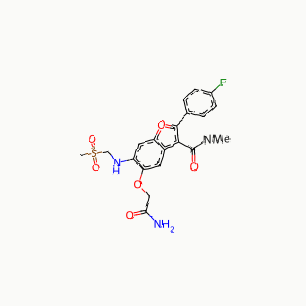 CNC(=O)c1c(-c2ccc(F)cc2)oc2cc(NCS(C)(=O)=O)c(OCC(N)=O)cc12